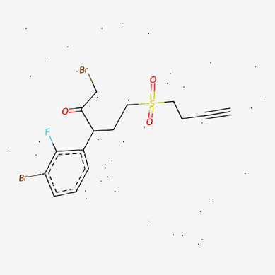 C#CCCS(=O)(=O)CCC(C(=O)CBr)c1cccc(Br)c1F